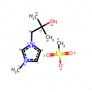 CS(=O)(=O)[O-].Cn1cc[n+](CC(C)(C)O)c1